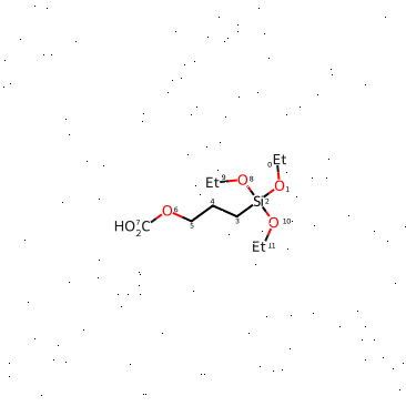 CCO[Si](CCCOC(=O)O)(OCC)OCC